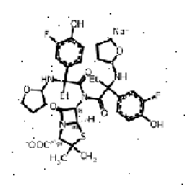 CCC(NC1CCCO1)(C(=O)N(C(=O)C(CC)(NC1CCCO1)c1ccc(O)c(F)c1)[C@@H]1C(=O)N2[C@@H]1SC(C)(C)[C@@H]2C(=O)[O-])c1ccc(O)c(F)c1.[Na+]